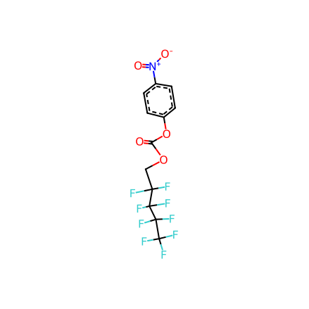 O=C(OCC(F)(F)C(F)(F)C(F)(F)C(F)(F)F)Oc1ccc([N+](=O)[O-])cc1